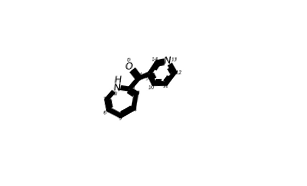 O=C(C1=CC=CC=CN1)c1cccnc1